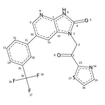 O=C(Cn1c(=O)[nH]c2ncc(-c3cccc(C(F)(F)F)c3)cc21)c1nccs1